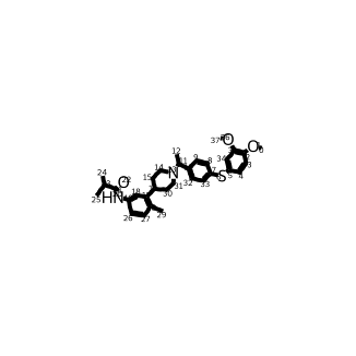 COc1ccc(Sc2ccc(C(C)N3CCC(c4cc(NC(=O)C(C)C)ccc4C)CC3)cc2)cc1OC